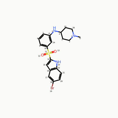 CN1CCC(Nc2cccc(S(=O)(=O)c3cc4cc(Br)ccc4[nH]3)c2)CC1